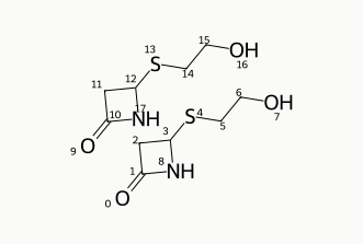 O=C1CC(SCCO)N1.O=C1CC(SCCO)N1